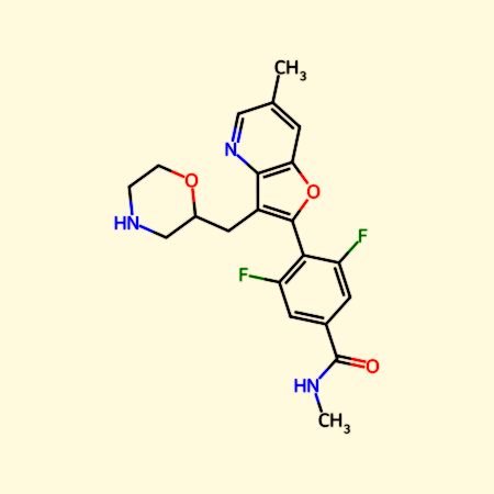 CNC(=O)c1cc(F)c(-c2oc3cc(C)cnc3c2CC2CNCCO2)c(F)c1